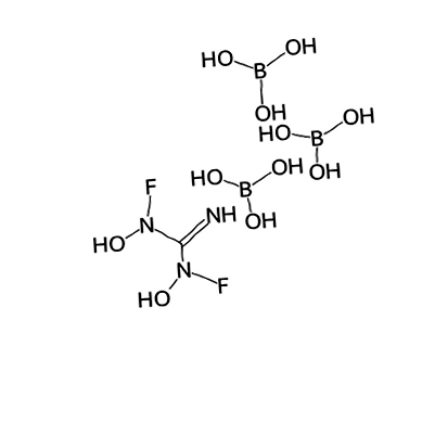 N=C(N(O)F)N(O)F.OB(O)O.OB(O)O.OB(O)O